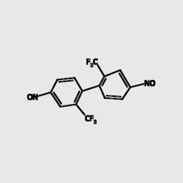 O=Nc1ccc(-c2ccc(N=O)cc2C(F)(F)F)c(C(F)(F)F)c1